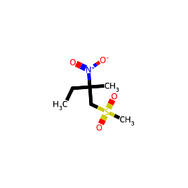 CCC(C)(CS(C)(=O)=O)[N+](=O)[O-]